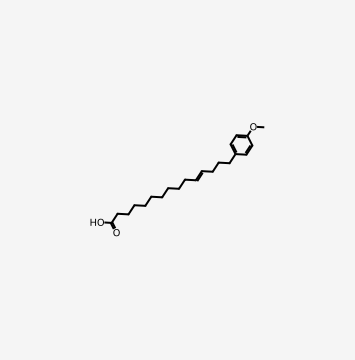 COc1ccc(CCCC=CCCCCCCCCCC(=O)O)cc1